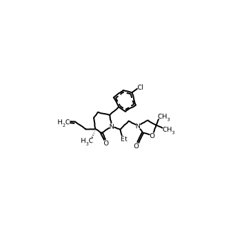 C=CC[C@@]1(C)CCC(c2ccc(Cl)cc2)N(C(CC)CN2CC(C)(C)OC2=O)C1=O